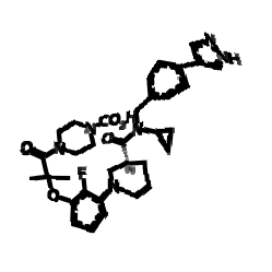 CC(C)(Oc1cccc(N2CCC[C@@H](C(=O)N(Cc3ccc(-c4cn[nH]c4)cc3)C3CC3)C2)c1F)C(=O)N1CCN(C(=O)O)CC1